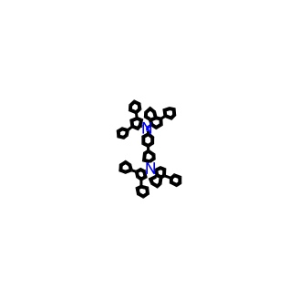 c1ccc(-c2cc(-c3ccccc3)cc(N(c3ccc(-c4ccc(N(c5cc(-c6ccccc6)cc(-c6ccccc6)c5)c5ccc(-c6ccccc6)c6ccccc56)cc4)cc3)c3ccc(-c4ccccc4)c4ccccc34)c2)cc1